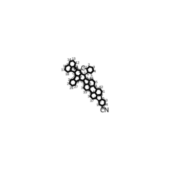 Cc1ccccc1-c1c2cc3c4cccc5cccc(c54)c3c3c4ccccc4c(c4c5ccc6c7ccc8c9c(ccc(c%10ccc(c14)c5c%106)c97)-c1ccc(C#N)cc1-8)c23